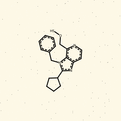 SOCc1nccc2nc(C3CCCC3)n(Cc3ccccc3)c12